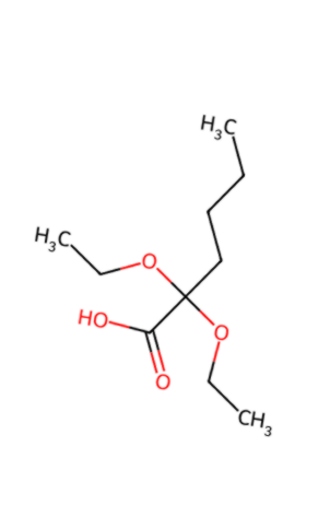 CCCCC(OCC)(OCC)C(=O)O